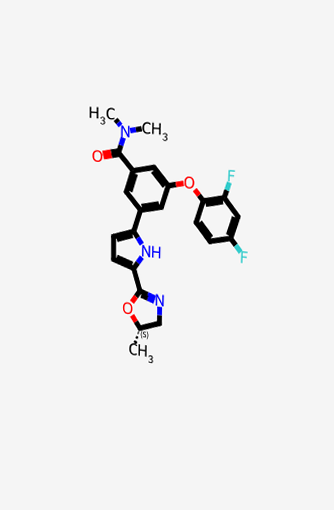 C[C@H]1CN=C(c2ccc(-c3cc(Oc4ccc(F)cc4F)cc(C(=O)N(C)C)c3)[nH]2)O1